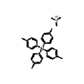 C[NH+](C)C.Cc1cc[c]([Al-]([c]2ccc(C)cc2)([c]2ccc(C)cc2)[c]2ccc(C)cc2)cc1